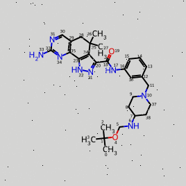 CC(C)(C)OCNC1CCN(Cc2cccc(NC(=O)c3n[nH]c4c3C(C)(C)Cc3cnc(N)nc3-4)c2)CC1